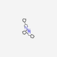 c1ccc(Cc2nnc(N3CCC(c4ccccc4)CC3)c3ccccc23)cc1